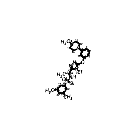 CCn1c(Oc2cccc(N3CCN(C)CC3)c2)nnc1[C@@H](C)NS(=O)(=O)c1cc(C)cc(C)c1